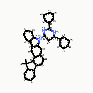 CC1(C)c2ccccc2-c2ccc3cc4c(cc3c21)c1ccccc1n4-c1cc(-c2ccccc2)nc(-c2ccccc2)n1